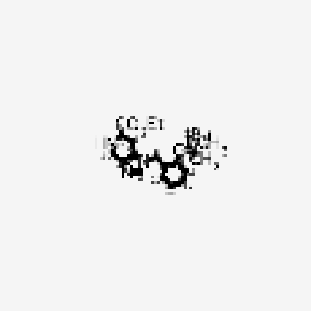 CCOC(=O)C1Cc2c(ncn2Cc2ccccc2O[Si](C)(C)C(C)(C)C)CN1